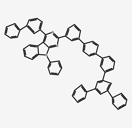 c1ccc(-c2cc(-c3ccccc3)cc(-c3cccc(-c4ccc(-c5cccc(-c6nc(-c7cccc(-c8ccccc8)c7)c7c8ccccc8n(-c8ccccc8)c7n6)c5)cc4)c3)c2)cc1